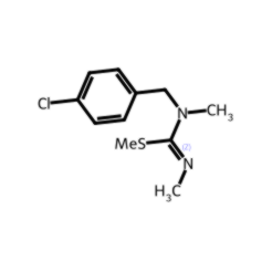 C/N=C(\SC)N(C)Cc1ccc(Cl)cc1